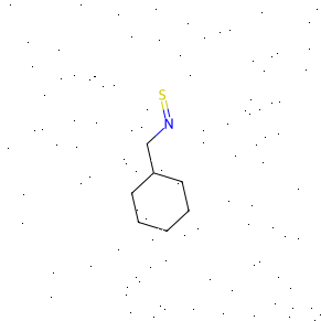 S=NCC1CCCCC1